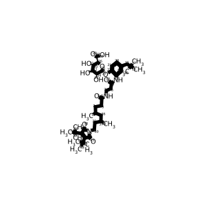 CC(CCC(=O)NCCC(=O)Nc1cc(CC(C)(C)C)ccc1O[C@@H]1O[C@H](C(=O)O)[C@@H](O)[C@H](O)[C@H]1O)CC(C)CCN1C(=O)C(C(C)(C)C)=C(C(C)(C)C)C1=O